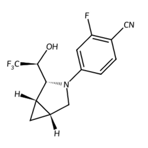 N#Cc1ccc(N2C[C@@H]3C[C@@H]3[C@@H]2[C@H](O)C(F)(F)F)cc1F